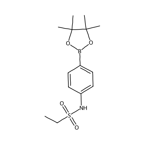 CCS(=O)(=O)Nc1ccc(B2OC(C)(C)C(C)(C)O2)cc1